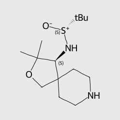 CC1(C)OCC2(CCNCC2)[C@@H]1N[S@+]([O-])C(C)(C)C